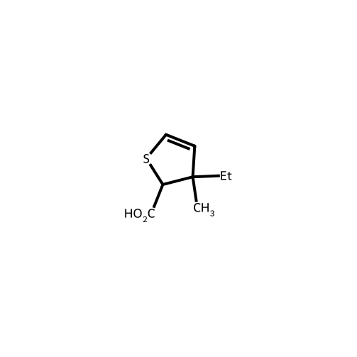 CCC1(C)C=CSC1C(=O)O